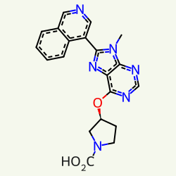 Cn1c(-c2cncc3ccccc23)nc2c(O[C@H]3CCN(C(=O)O)C3)ncnc21